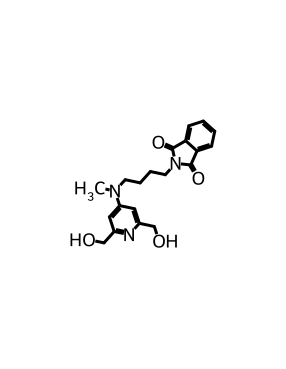 CN(CCCCN1C(=O)c2ccccc2C1=O)c1cc(CO)nc(CO)c1